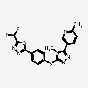 Cc1ccc(-c2nnc(Sc3ccc(-c4nnc(C(F)F)o4)cc3)n2C)cn1